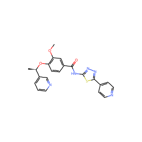 COc1cc(C(=O)Nc2nnc(-c3ccncc3)s2)ccc1O[C@H](C)c1cccnc1